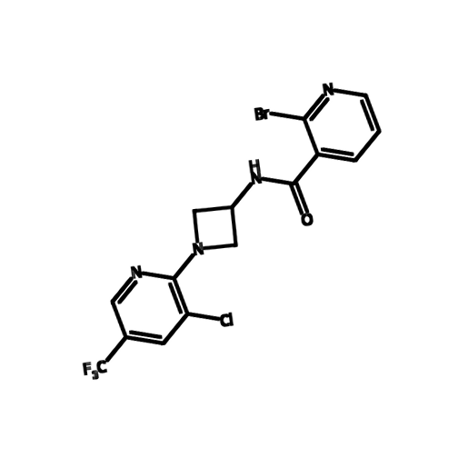 O=C(NC1CN(c2ncc(C(F)(F)F)cc2Cl)C1)c1cccnc1Br